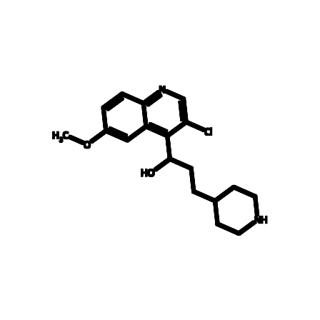 COc1ccc2ncc(Cl)c(C(O)CC[C]3CCNCC3)c2c1